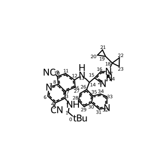 CC(C)(C)CNc1c(C#N)cnc2c(C#N)cc(NC(c3cn(C4(C5CC5)CC4)nn3)c3cccc4cnccc34)cc12